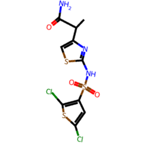 CC(C(N)=O)c1csc(NS(=O)(=O)c2cc(Cl)sc2Cl)n1